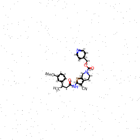 COc1cccc(C(C)CC(=O)Nc2sc3c(c2C#N)CCN(C(=O)OCc2ccncc2)C3)c1